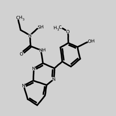 CCN(S)C(=O)Nc1nc2ncccc2nc1-c1ccc(O)c(OC)c1